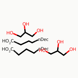 CCCCCCCCCCCCCC(=O)O.CCCCCCCCCCCCCC(=O)O.OCC(O)CO.OCC(O)CO